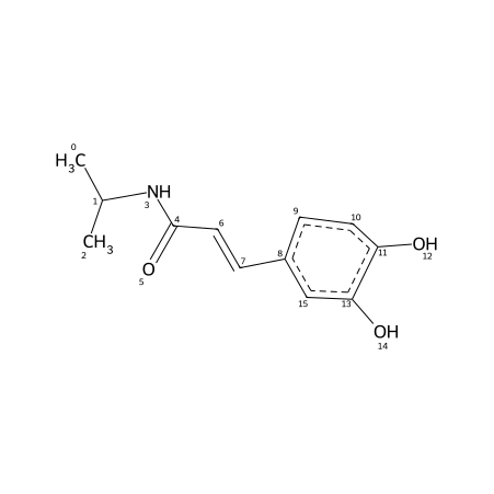 CC(C)NC(=O)/C=C/c1ccc(O)c(O)c1